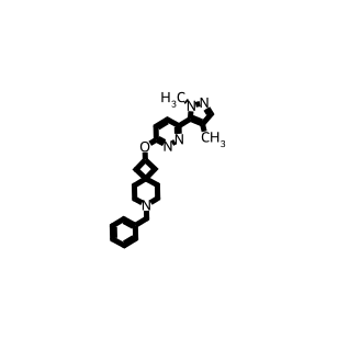 Cc1cnn(C)c1-c1ccc(OC2CC3(CCN(Cc4ccccc4)CC3)C2)nn1